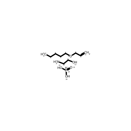 C=CCOCCCCC.NCCO.O=[PH](O)O